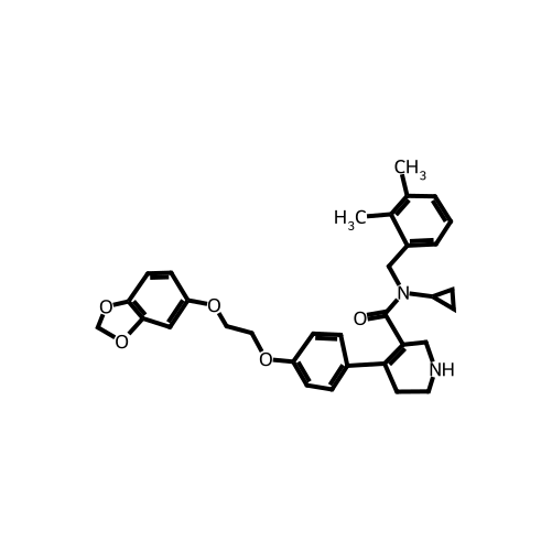 Cc1cccc(CN(C(=O)C2=C(c3ccc(OCCOc4ccc5c(c4)OCO5)cc3)CCNC2)C2CC2)c1C